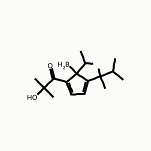 BC1(C(C)C)C(C(=O)C(C)(C)O)=CC=C1C(C)(C)C(C)C